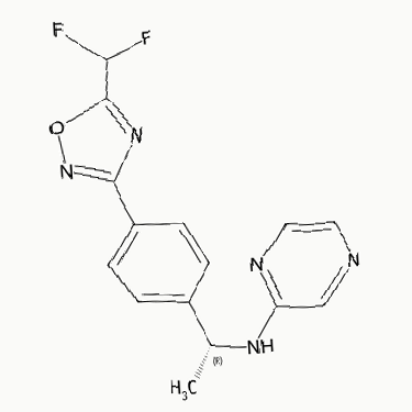 C[C@@H](Nc1cnccn1)c1ccc(-c2noc(C(F)F)n2)cc1